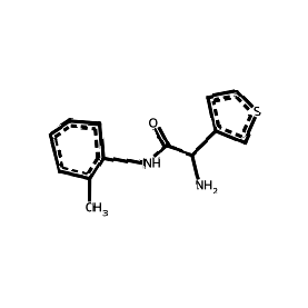 Cc1ccccc1NC(=O)C(N)c1ccsc1